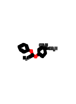 C=C(OC1=CCC(C(=O)O)(C(=O)O)C=C1)Oc1ccccc1